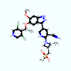 COc1cc2[nH]nc(-c3cnc(N4C[C@H](CS(C)(=O)=O)[C@H]4C)c(C#N)c3)c2cc1O[C@H](C)c1c(Cl)cncc1Cl